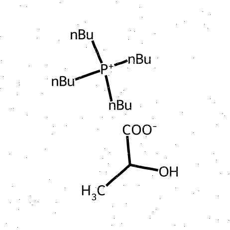 CC(O)C(=O)[O-].CCCC[P+](CCCC)(CCCC)CCCC